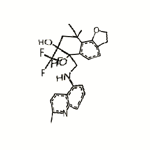 Cc1ccc2c(NCC3(O)c4ccc5c(c4C(C)(C)CC3(O)C(F)(F)F)OCC5)cccc2n1